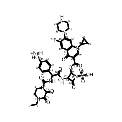 CCN1CCN(C(=O)NC(C(=O)N[C@@H]2C(=O)N(S(=O)(=O)O)C2OC(=O)c2cn(C3CC3)c3cc(N4CCNCC4)c(F)cc3c2=O)c2ccc(O)cc2)C(=O)C1=O.[NaH]